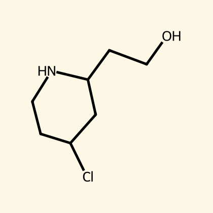 OCCC1CC(Cl)CCN1